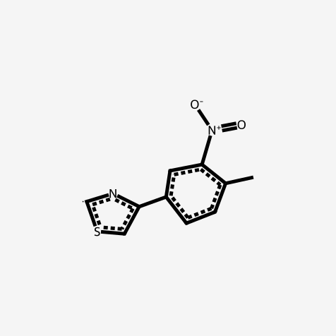 Cc1ccc(-c2cs[c]n2)cc1[N+](=O)[O-]